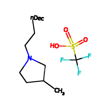 CCCCCCCCCCCCN1CCC(C)C1.O=S(=O)(O)C(F)(F)F